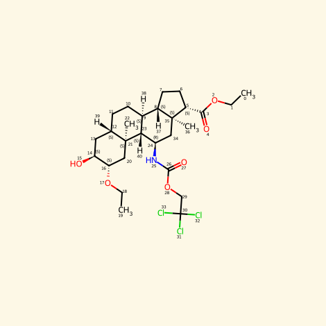 CCOC(=O)[C@H]1CC[C@H]2[C@@H]3CC[C@H]4C[C@H](O)[C@@H](OCC)C[C@]4(C)[C@H]3[C@H](NC(=O)OCC(Cl)(Cl)Cl)C[C@]12C